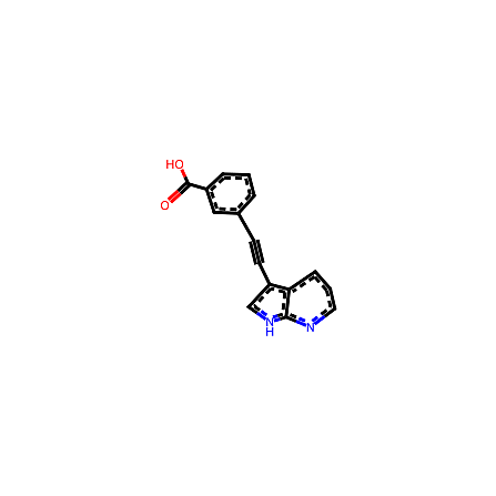 O=C(O)c1cccc(C#Cc2c[nH]c3ncccc23)c1